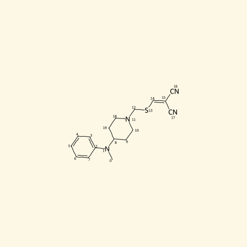 CN(c1ccccc1)C1CCN(CSC=C(C#N)C#N)CC1